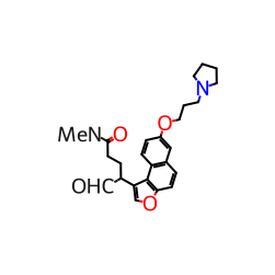 CNC(=O)CCC(C=O)c1coc2ccc3cc(OCCCN4CCCC4)ccc3c12